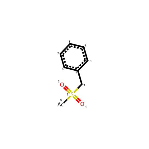 CC(=O)S(=O)(=O)Cc1ccccc1